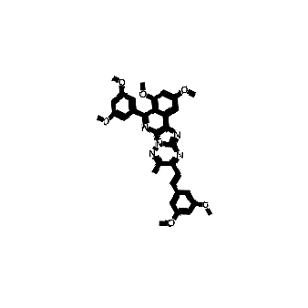 COc1cc(/C=C/c2nc3nc4c5cc(OC)cc(OC)c5c(-c5cc(OC)cc(OC)c5)nc4n3nc2C)cc(OC)c1